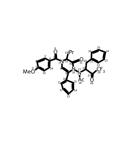 COc1ccc(C(=O)N2C=C(c3ccccc3)N(N(C(C)=O)C(Cc3ccccc3)C(=O)C(F)(F)F)C(=O)C2C(C)C)cc1